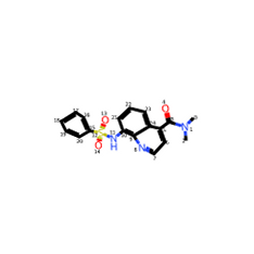 CN(C)C(=O)c1ccnc2c(NS(=O)(=O)c3ccccc3)cccc12